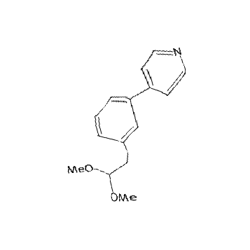 COC(Cc1cccc(-c2ccncc2)c1)OC